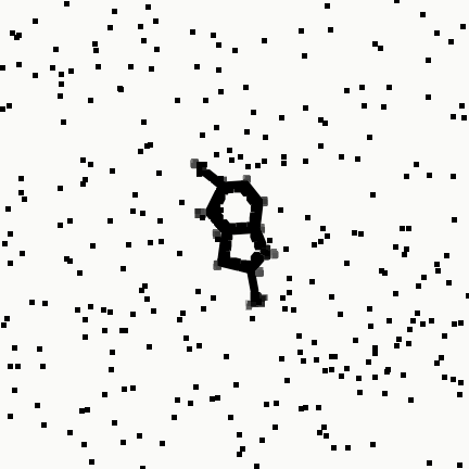 Fc1ccc2sc(Br)cc2c1